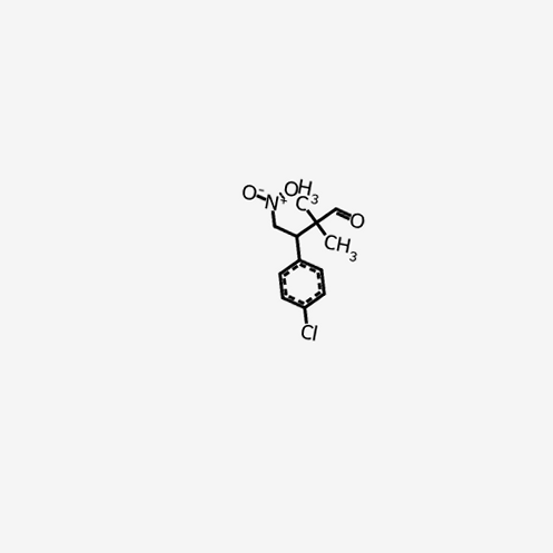 CC(C)(C=O)C(C[N+](=O)[O-])c1ccc(Cl)cc1